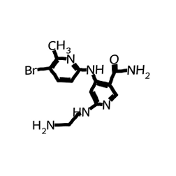 Cc1nc(Nc2cc(NCCN)ncc2C(N)=O)ccc1Br